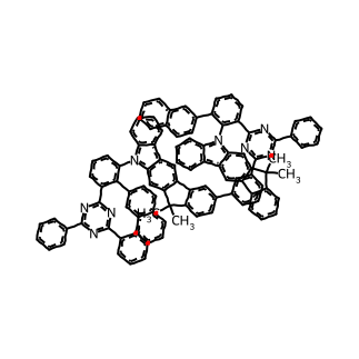 CC1(C)c2ccc(-c3cccc(-c4nc(-c5ccccc5)nc(-c5cccc(-c6ccc7ccccc7c6)c5-n5c6ccccc6c6cc7c(cc65)C(C)(C)c5ccccc5-7)n4)c3)cc2-c2cc3c4ccccc4n(-c4cccc(-c5nc(-c6ccccc6)nc(-c6ccccc6)n5)c4-c4ccc5ccccc5c4)c3cc21